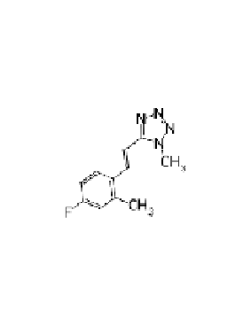 Cc1cc(F)ccc1C=Cc1nnnn1C